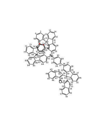 c1ccc(C2(c3ccccc3)c3ccccc3-c3ccc(N(c4ccc(-c5ccc6c(c5)C5(c7ccccc7-6)c6ccc7ccccc7c6Oc6c5ccc5ccccc65)cc4)c4ccc5c(c4)C4(c6ccccc6-c6ccccc64)c4ccccc4-5)cc32)cc1